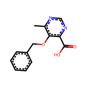 Cc1ncnc(C(=O)O)c1OCc1ccccc1